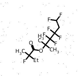 CCC(C)(F)C(=O)OC(C)(C)C(F)(F)C(F)(F)CC(F)F